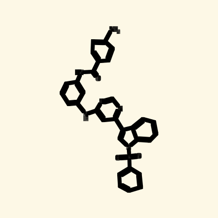 Nc1ccc(C(=O)Nc2cccc(Nc3cc(-c4cn(S(=O)(=O)c5ccccc5)c5ccccc45)ncn3)c2)cc1